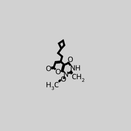 C=C1NC(=O)c2c(CCC3CCC3)cc(=O)oc2N1OCC